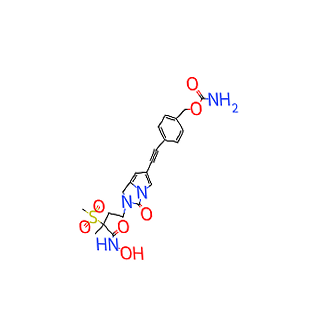 CC(CCN1Cc2cc(C#Cc3ccc(COC(N)=O)cc3)cn2C1=O)(C(=O)NO)S(C)(=O)=O